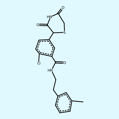 Cc1cccc(CCNC(=O)c2cc(C3SCC(=O)NC3=O)ccc2Cl)c1